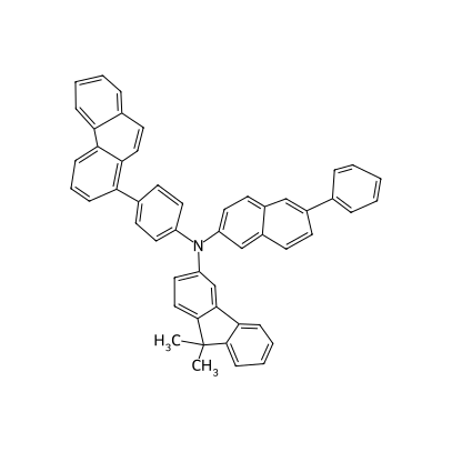 CC1(C)c2ccccc2-c2cc(N(c3ccc(-c4cccc5c4ccc4ccccc45)cc3)c3ccc4cc(-c5ccccc5)ccc4c3)ccc21